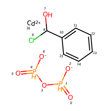 O=[PH]([O-])O[PH](=O)[O-].OC(Cl)c1ccccc1.[Cd+2]